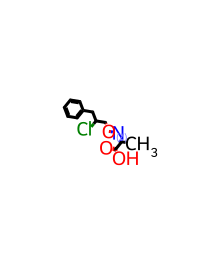 C/C(=N/OCC(Cl)Cc1ccccc1)C(=O)O